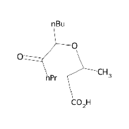 CCCCC(OC(C)CC(=O)O)C(=O)CCC